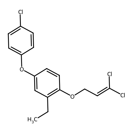 CCc1cc(Oc2ccc(Cl)cc2)ccc1OCC=C(Cl)Cl